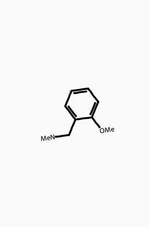 CNCc1c[c]ccc1OC